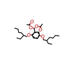 CCCCC(CC)COc1ccc(OCC(CC)CCCC)c(C(OC(C)=O)OC(C)=O)c1